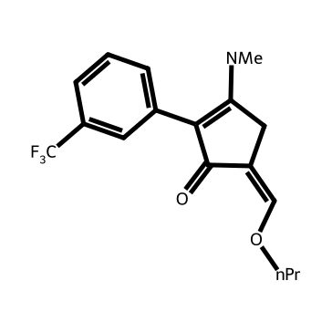 CCCOC=C1CC(NC)=C(c2cccc(C(F)(F)F)c2)C1=O